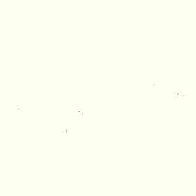 COC(=O)c1ccc2c(c1)cc(C(=O)OC(C)(C)C)n2C(C)C